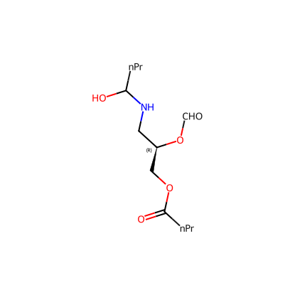 CCCC(=O)OC[C@@H](CNC(O)CCC)OC=O